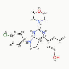 C=C/C=C(\C=C\O)c1nc(N2CCOCC2)nc2c1CCN2c1ccc(Cl)cc1